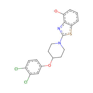 [O]c1cccc2sc(N3CCC(Oc4ccc(Cl)c(Cl)c4)CC3)nc12